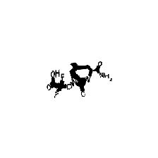 CC1=C[C@@H](C(N)=O)N2CC1N(OC(F)(F)C(=O)O)C2=O